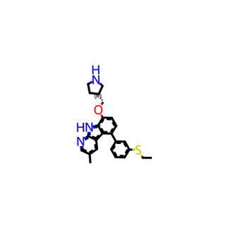 CCSc1cccc(-c2ccc(OC[C@@H]3CCNC3)c3[nH]c4ncc(C)cc4c23)c1